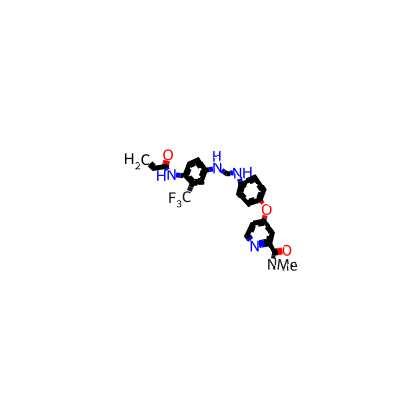 C=CC(=O)Nc1ccc(NCNc2ccc(Oc3ccnc(C(=O)NC)c3)cc2)cc1C(F)(F)F